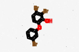 Oc1c(Oc2cccc(Br)c2)ccc(Br)c1Br